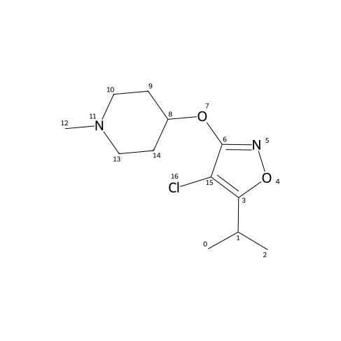 CC(C)c1onc(OC2CCN(C)CC2)c1Cl